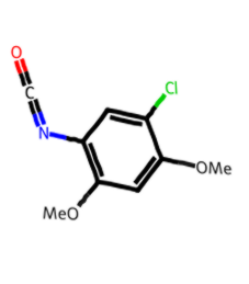 COc1cc(OC)c(N=C=O)cc1Cl